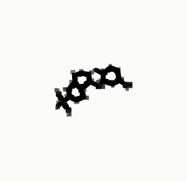 Cc1ccc(O)cc1Nc1ccnc2cc(S(C)(=O)=O)ccc12